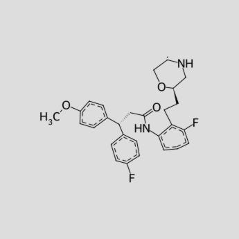 COc1ccc([C@H](CC(=O)Nc2cccc(F)c2CC[C@@H]2CN[CH]CO2)c2ccc(F)cc2)cc1